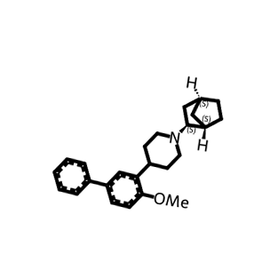 COc1ccc(-c2ccccc2)cc1C1CCN([C@H]2C[C@H]3CC[C@H]2C3)CC1